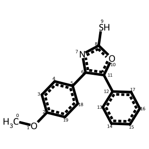 COc1ccc(-c2nc(S)oc2-c2ccccc2)cc1